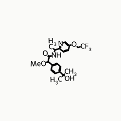 COC(C(=O)NC(C)c1ccc(OCC(F)(F)F)cn1)c1ccc(C(C)(C)O)cc1